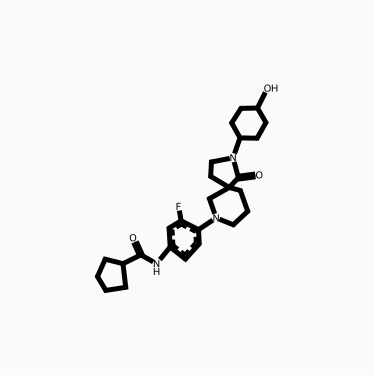 O=C(Nc1ccc(N2CCCC3(CCN(C4CCC(O)CC4)C3=O)C2)c(F)c1)C1CCCC1